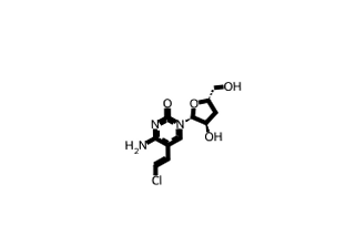 Nc1nc(=O)n([C@@H]2O[C@H](CO)C[C@H]2O)cc1/C=C/Cl